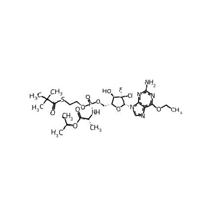 CCOc1nc(N)nc2c1ncn2[C@@H]1O[C@H](CO[P@@](=O)(N[C@H](C)C(=O)OC(C)C)OCCSC(=O)C(C)(C)C)[C@@H](O)[C@@]1(F)Cl